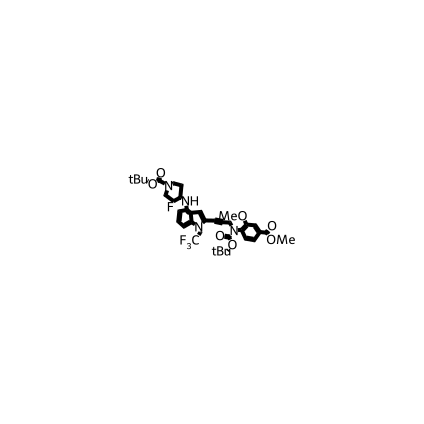 COC(=O)c1ccc(N(CC#Cc2cc3c(NC4CCN(C(=O)OC(C)(C)C)CC4F)cccc3n2CC(F)(F)F)C(=O)OC(C)(C)C)c(OC)c1